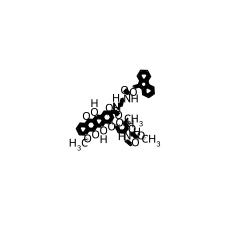 COc1cccc2c1C(=O)c1c(O)c3c(c(O)c1C2=O)C[C@@](O)(C(=O)NCCNC(=O)OCC1c2ccccc2-c2ccccc21)C[C@@H]3O[C@H]1C[C@H]2[C@H](O[C@@H]3[C@@H](OC)OCCN32)[C@H](C)O1